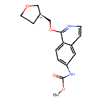 CC(C)(C)OC(=O)Nc1ccc2c(OC[C@H]3CCOC3)nccc2c1